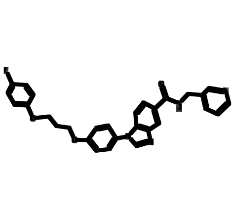 O=C(NCc1cccnc1)c1ccc2c(c1)ncn2-c1ccc(OCCCOc2ccc(F)cc2)cc1